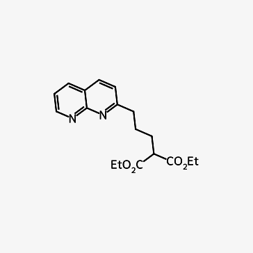 CCOC(=O)C(CCCc1ccc2cccnc2n1)C(=O)OCC